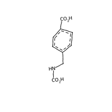 O=C(O)NCc1ccc(C(=O)O)cc1